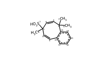 CC1(C)/C=C\C(C)(S(=O)(=O)O)/C=C\c2ccccc21